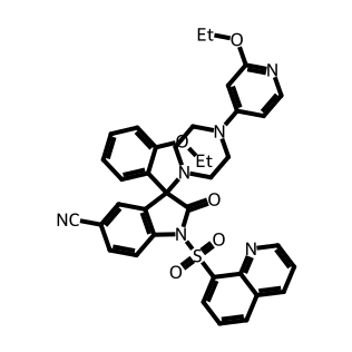 CCOc1cc(N2CCN(C3(c4ccccc4OCC)C(=O)N(S(=O)(=O)c4cccc5cccnc45)c4ccc(C#N)cc43)CC2)ccn1